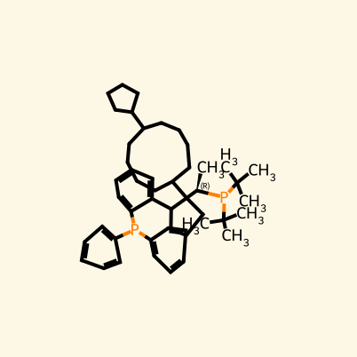 C[C@@H](P(C(C)(C)C)C(C)(C)C)C1(C2CCCCC(C3CCCC3)CCCC2)CCCC1c1ccccc1P(c1ccccc1)c1ccccc1